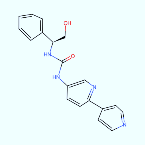 O=C(Nc1ccc(-c2ccncc2)nc1)N[C@H](CO)c1ccccc1